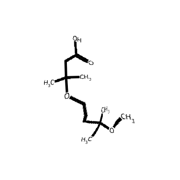 COC(C)(C)CCOC(C)(C)CC(=O)O